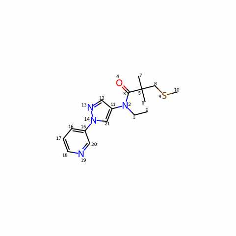 CCN(C(=O)C(C)(C)CSC)c1cnn(-c2cccnc2)c1